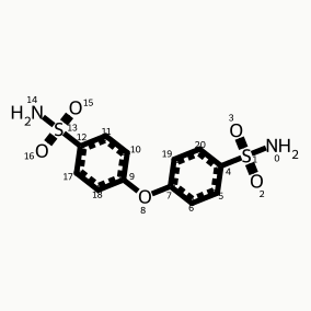 NS(=O)(=O)c1ccc(Oc2ccc(S(N)(=O)=O)cc2)cc1